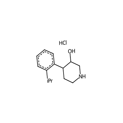 CC(C)c1ccccc1C1CCNCC1O.Cl